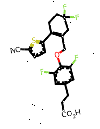 N#Cc1ccc(C2=C(COc3c(F)cc(CCC(=O)O)cc3F)CC(F)(F)CC2)s1